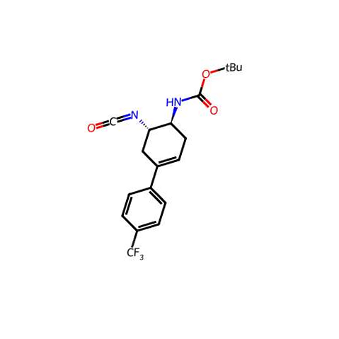 CC(C)(C)OC(=O)N[C@H]1CC=C(c2ccc(C(F)(F)F)cc2)C[C@@H]1N=C=O